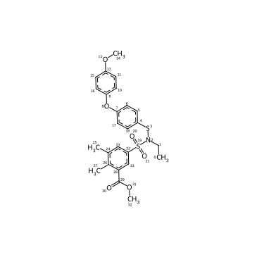 CCN(Sc1ccc(Oc2ccc(OC)cc2)cc1)S(=O)(=O)c1cc(C)c(C)c(C(=O)OC)c1